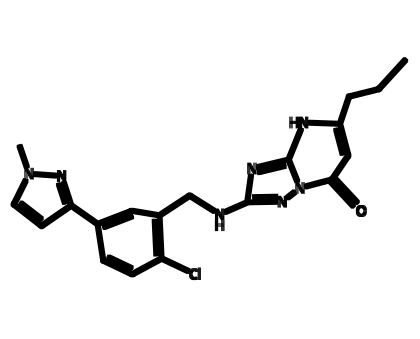 CCCc1cc(=O)n2nc(NCc3cc(-c4ccn(C)n4)ccc3Cl)nc2[nH]1